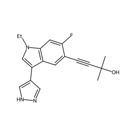 CCn1cc(-c2cn[nH]c2)c2cc(C#CC(C)(C)O)c(F)cc21